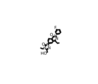 CCc1nn(-c2cccc(F)c2)c(=O)c2ccc(-n3nc(CO)n(CC)c3=O)cc12